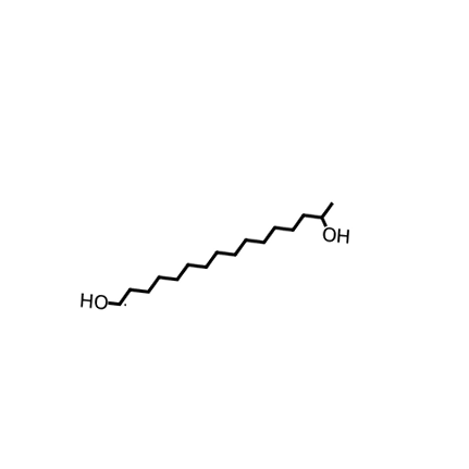 CC(O)CCCCCCCCCCCCC[CH]O